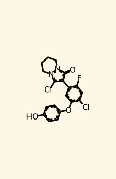 O=c1c(-c2cc(Oc3ccc(O)cc3)c(Cl)cc2F)c(Cl)n2n1CCCC2